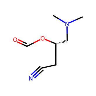 CN(C)C[C@H](CC#N)OC=O